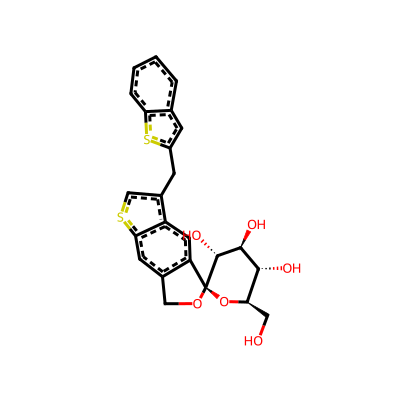 OC[C@H]1O[C@]2(OCc3cc4scc(Cc5cc6ccccc6s5)c4cc32)[C@H](O)[C@@H](O)[C@@H]1O